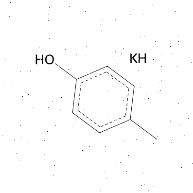 Cc1ccc(O)cc1.[KH]